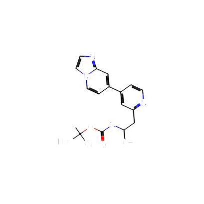 CC(Cc1cc(-c2ccn3ccnc3c2)ccn1)NC(=O)OC(C)(C)C